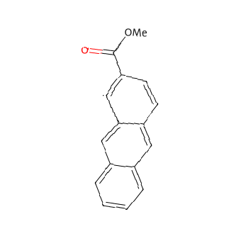 COC(=O)c1[c]c2cc3ccccc3cc2cc1